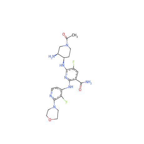 CC(=O)N1CC[C@@H](Nc2nc(Nc3ccnc(N4CCOCC4)c3F)c(C(N)=O)cc2F)[C@@H](N)C1